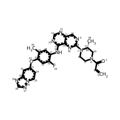 C=CC(=O)N1CCN(c2ncc3ncnc(Nc4cc(C)c(Oc5ccn6ncnc6c5)cc4F)c3n2)[C@H](C)C1